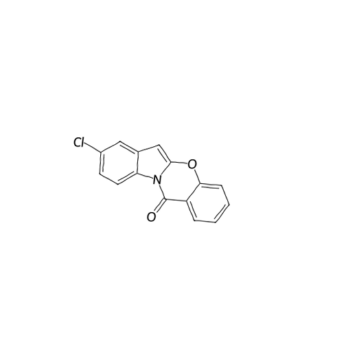 O=c1c2ccccc2oc2cc3cc(Cl)ccc3n12